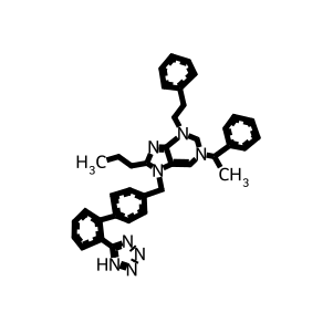 CCCC1N=C2C(=CN(C(C)c3ccccc3)CN2CCc2ccccc2)N1Cc1ccc(-c2ccccc2-c2nnn[nH]2)cc1